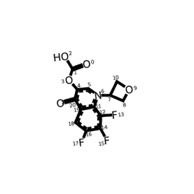 O=C(O)Oc1cn(C2COC2)c2c(F)c(F)c(F)cc2c1=O